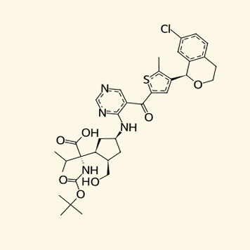 Cc1sc(C(=O)c2cncnc2N[C@H]2C[C@@H](CO)[C@@H]([C@](NC(=O)OC(C)(C)C)(C(=O)O)C(C)C)C2)cc1[C@@H]1OCCc2ccc(Cl)cc21